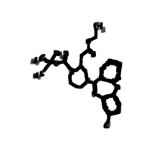 CCOC(=O)CC1CN(C2=Nc3cc(Cl)ccc3Oc3ccccc32)CCN1C(=O)OC(C)(C)C